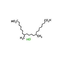 CC(CCCCCCC(=O)O)CCCCC(C)CCCCCCC(=O)O.Cl